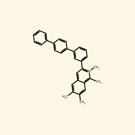 Cc1cc2cc(-c3cccc(-c4ccc(-c5ccccc5)cc4)c3)[n+](C)c(C)c2cc1C